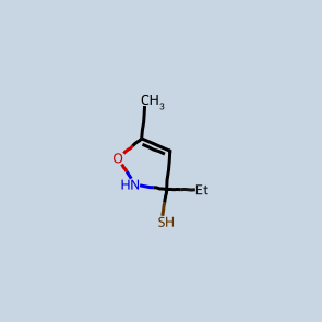 CCC1(S)C=C(C)ON1